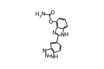 NC(=O)Oc1cccc2[nH]c(-c3ccc4[nH]nnc4c3)nc12